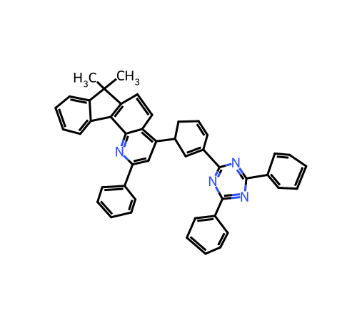 CC1(C)c2ccccc2-c2c1ccc1c(C3C=C(c4nc(-c5ccccc5)nc(-c5ccccc5)n4)C=CC3)cc(-c3ccccc3)nc21